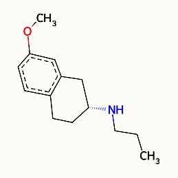 CCCN[C@@H]1CCc2ccc(OC)cc2C1